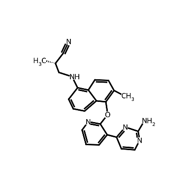 Cc1ccc2c(NC[C@H](C)C#N)cccc2c1Oc1ncccc1-c1ccnc(N)n1